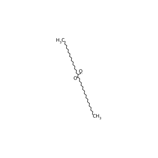 CCCCCCCCCCCCCCCCCCCC(=O)C([C]=O)CCCCCCCCCCCCCCCCC